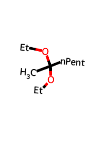 CCCCCC(C)(OCC)OCC